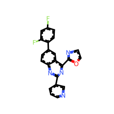 Fc1ccc(-c2ccc3nc(-c4cccnc4)nc(-c4ncco4)c3c2)c(F)c1